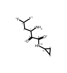 NC(CC(F)F)C(=O)C(=O)NC1CC1